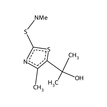 CNSc1nc(C)c(C(C)(C)O)s1